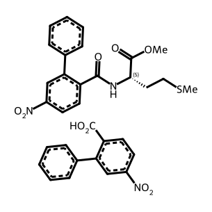 COC(=O)[C@H](CCSC)NC(=O)c1ccc([N+](=O)[O-])cc1-c1ccccc1.O=C(O)c1ccc([N+](=O)[O-])cc1-c1ccccc1